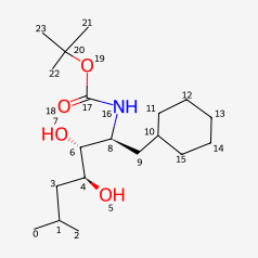 CC(C)C[C@H](O)[C@H](O)[C@H](CC1CCCCC1)NC(=O)OC(C)(C)C